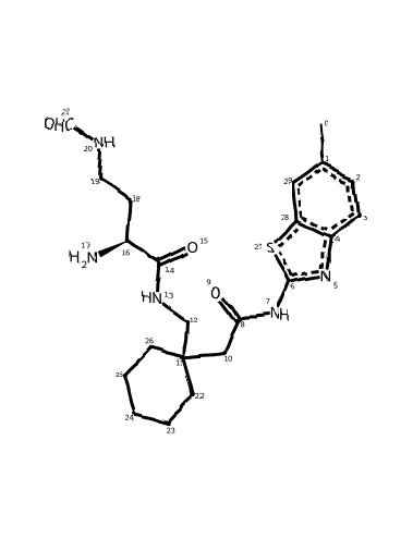 Cc1ccc2nc(NC(=O)CC3(CNC(=O)[C@@H](N)CCNC=O)CCCCC3)sc2c1